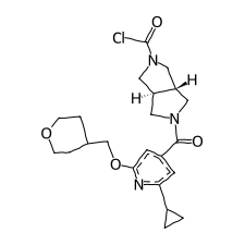 O=C(Cl)N1C[C@@H]2CN(C(=O)c3cc(OCC4CCOCC4)nc(C4CC4)c3)C[C@H]2C1